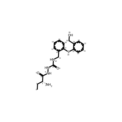 CC[C@@H](N)C(=O)NNC(=O)NCc1ccccc1Sc1ccccc1CO